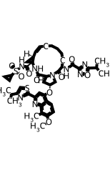 COc1ccc2c(O[C@@H]3C[C@H]4C(=O)N[C@]5(C(=O)NS(=O)(=O)C6CC6)C[C@H]5/C=C\CCCCC[C@H](NC(=O)c5noc(C(C)C)n5)C(=O)N4C3)cc(-c3nc(C(C)C)cs3)nc2c1C